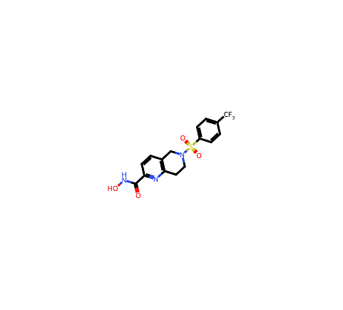 O=C(NO)c1ccc2c(n1)CCN(S(=O)(=O)c1ccc(C(F)(F)F)cc1)C2